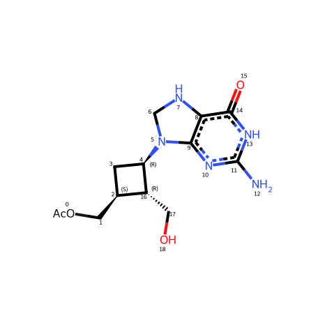 CC(=O)OC[C@H]1C[C@@H](N2CNc3c2nc(N)[nH]c3=O)[C@@H]1CO